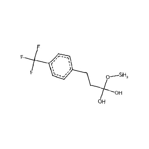 OC(O)(CCc1ccc(C(F)(F)F)cc1)O[SiH3]